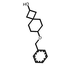 OC1CC2(CCC(OCc3ccccc3)CC2)C1